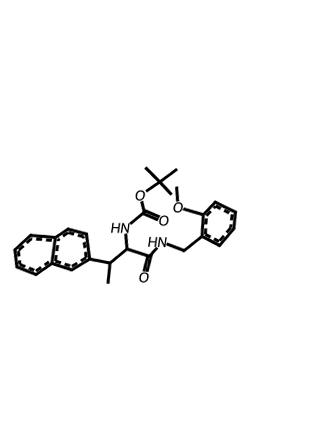 COc1ccccc1CNC(=O)C(NC(=O)OC(C)(C)C)C(C)c1ccc2ccccc2c1